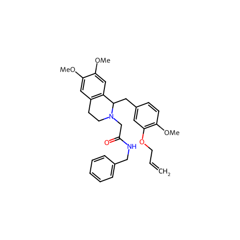 C=CCOc1cc(CC2c3cc(OC)c(OC)cc3CCN2CC(=O)NCc2ccccc2)ccc1OC